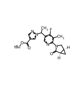 Cc1c(N2C[C@H]3C[C@H]3C2=O)ncc(C(C)n2cc(C(=O)OC(C)(C)C)cn2)c1F